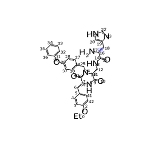 CCOc1ccc(C[C@@H]2NC(=O)[C@H](CNC(=O)/C(N)=C/c3c[nH]cn3)N(Cc3ccc(Oc4ccccc4)cc3)C2=O)cc1